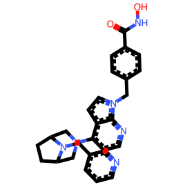 O=C(NO)c1ccc(Cn2ccc3c(N4CC5CCC(C4)N5Cc4cccnc4)ccnc32)cc1